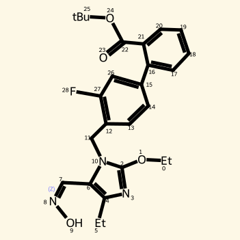 CCOc1nc(CC)c(/C=N\O)n1Cc1ccc(-c2ccccc2C(=O)OC(C)(C)C)cc1F